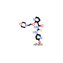 CCCCCOc1ccc(NC(=S)NC(=O)c2cccnc2OCCN2CCOCC2)cn1